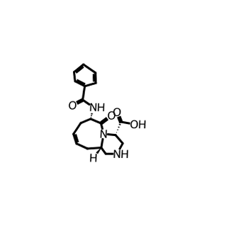 O=C(N[C@H]1C/C=C\C[C@H]2CNC[C@@H](C(=O)O)N2C1=O)c1ccccc1